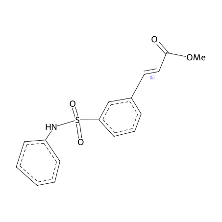 COC(=O)/C=C/c1cccc(S(=O)(=O)Nc2ccccc2)c1